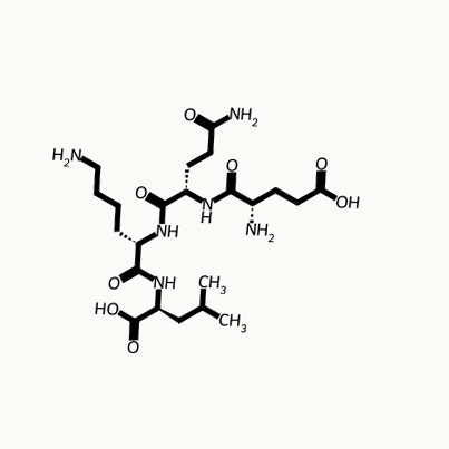 CC(C)C[C@H](NC(=O)[C@H](CCCCN)NC(=O)[C@H](CCC(N)=O)NC(=O)[C@@H](N)CCC(=O)O)C(=O)O